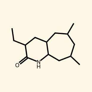 CCC1CC2CC(C)CC(C)CC2NC1=O